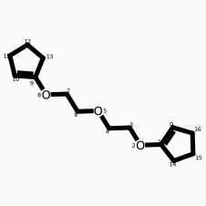 C1=C(OCCOCCOC2=CCCC2)CCC1